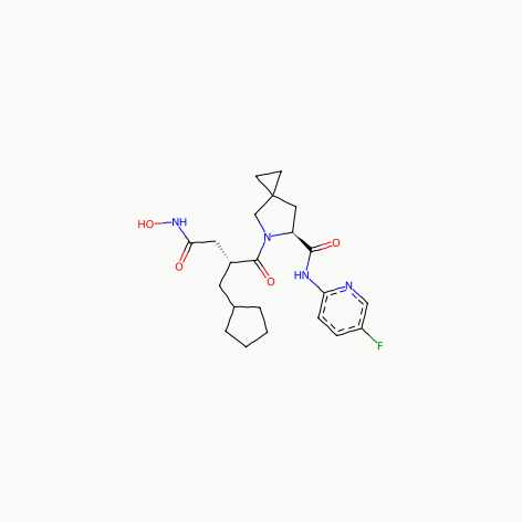 O=C(C[C@@H](CC1CCCC1)C(=O)N1CC2(CC2)C[C@H]1C(=O)Nc1ccc(F)cn1)NO